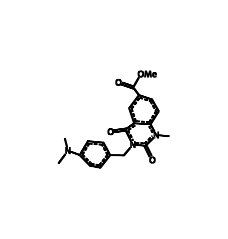 COC(=O)c1ccc2c(c1)c(=O)n(Cc1ccc(N(C)C)cc1)c(=O)n2C